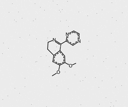 COc1cc2c(cc1OC)C(c1cnccn1)=NCC2